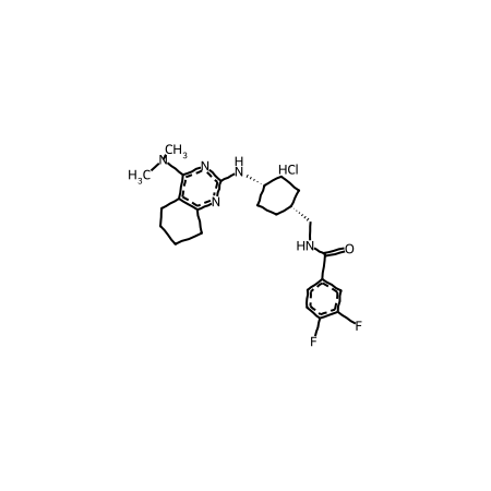 CN(C)c1nc(N[C@H]2CC[C@@H](CNC(=O)c3ccc(F)c(F)c3)CC2)nc2c1CCCC2.Cl